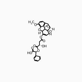 COc1ccc2c3c1O[C@@H]1C(OC(=O)C[C@H](O)C(=O)O[C@H](C(=O)O)c4ccccc4)=CC[C@]4(O)[C@@H](CCC[C@@]314)C2